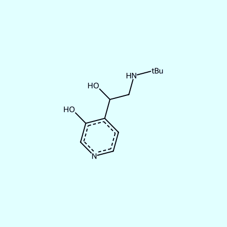 CC(C)(C)NCC(O)c1ccncc1O